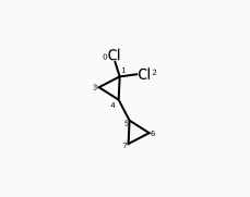 ClC1(Cl)CC1C1CC1